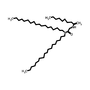 C=C(CCCCCCCC)NCC(=O)N(CCCCCCCCCCCCCCCCCC)CCCCCCCCCCCCCCCCCC